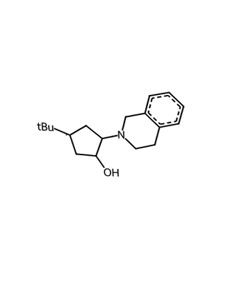 CC(C)(C)[C]1CC(O)C(N2CCc3ccccc3C2)C1